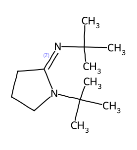 CC(C)(C)/N=C1/CCCN1C(C)(C)C